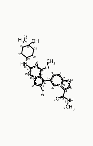 CNC(=O)c1cnc2ccc(-c3c(F)cn4nc(N[C@H]5CC[C@](C)(O)CC5)nc(OC)c34)cn12